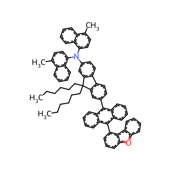 CCCCCCC1(CCCCCC)c2cc(-c3c4ccccc4c(-c4cccc5oc6ccccc6c45)c4ccccc34)ccc2-c2ccc(N(c3ccc(C)c4ccccc34)c3ccc(C)c4ccccc34)cc21